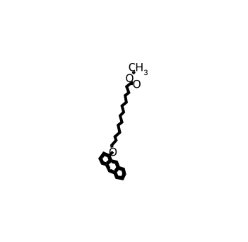 CCOC(=O)CCCCCCCCCCCCCOc1cccc2cc3ccccc3cc12